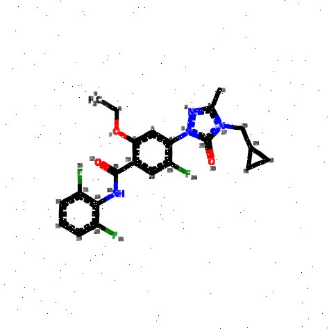 Cc1nn(-c2cc(OCC(F)(F)F)c(C(=O)Nc3c(F)cccc3F)cc2F)c(=O)n1CC1CC1